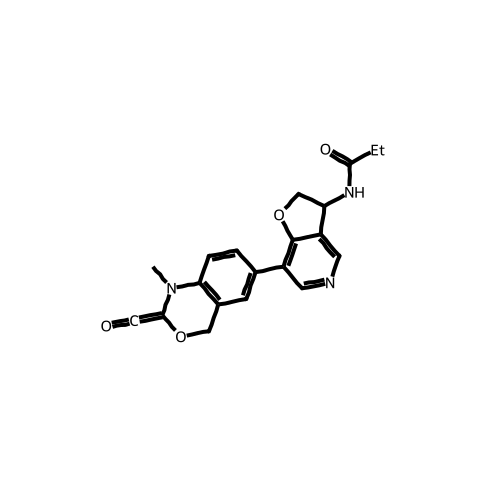 CCC(=O)NC1COc2c(-c3ccc4c(c3)COC(=C=O)N4C)cncc21